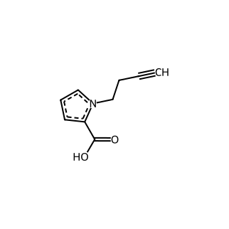 C#CCCn1cccc1C(=O)O